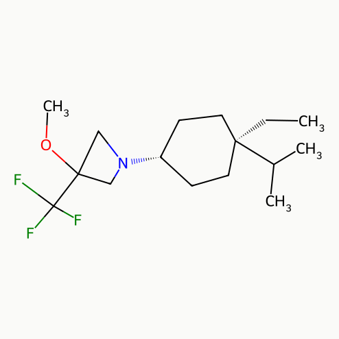 CC[C@]1(C(C)C)CC[C@H](N2CC(OC)(C(F)(F)F)C2)CC1